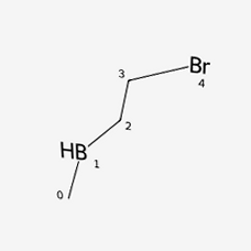 CBCCBr